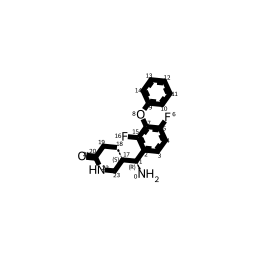 N[C@@H](c1ccc(F)c(Oc2ccccc2)c1F)[C@H]1CCC(=O)NC1